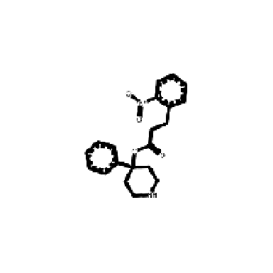 O=C(CCc1ccccc1[N+](=O)[O-])OC1(c2ccccc2)CCNCC1